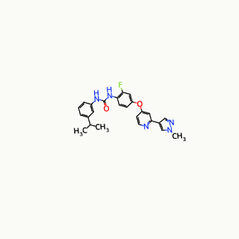 CC(C)c1cccc(NC(=O)Nc2ccc(Oc3ccnc(-c4cnn(C)c4)c3)cc2F)c1